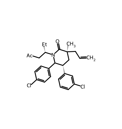 C=CC[C@@]1(C)C[C@H](c2cccc(Cl)c2)C(c2ccc(Cl)cc2)N([C@@H](CC)CC(C)=O)C1=O